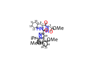 COC(=O)CNC(=O)C(CC1CCCCC1)NC(=O)c1cc(-c2c(OC)cccc2OC)n(C(C)C(C)C)n1